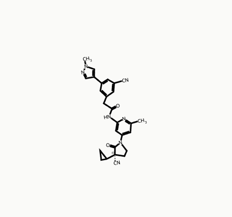 Cc1cc(N2CC[C@@](C#N)(C3CC3)C2=O)cc(NC(=O)Cc2cc(C#N)cc(-c3cnn(C)c3)c2)n1